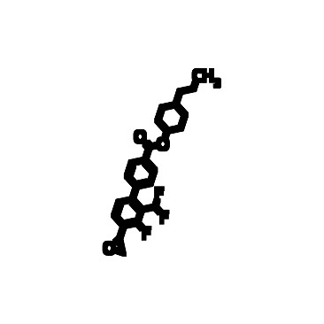 CCCC1CCC(OC(=O)c2ccc(-c3ccc(C4CO4)c(F)c3C(F)F)cc2)CC1